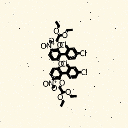 CCOC(COc1c([N+](=O)[O-])ccc(Oc2ccc([N+](=O)[O-])c(OCC(OCC)OCC)c2-c2ccc(Cl)cc2Cl)c1-c1ccc(Cl)cc1Cl)OCC